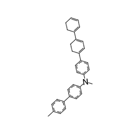 Cc1ccc(-c2ccc(N(C)c3ccc(C4=CC=C(C5=CC=CCC5)CC4)cc3)cc2)cc1